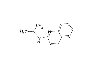 CC(C)Nc1ccc2ncccc2n1